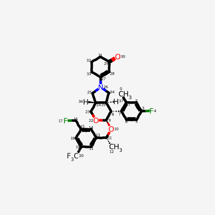 Cc1cc(F)ccc1[C@@H]1[C@@H](O[C@H](C)c2cc(CF)cc(C(F)(F)F)c2)OC[C@@H]2CN(C3=CC(=O)CCC3)C[C@H]21